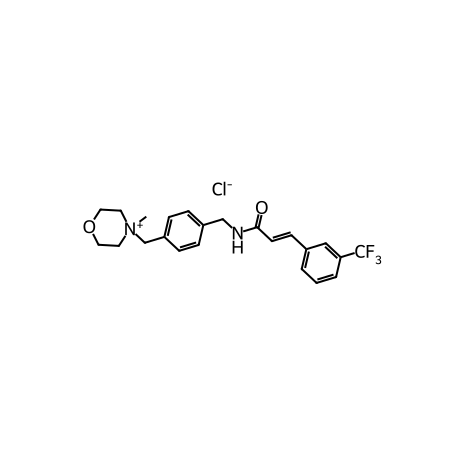 C[N+]1(Cc2ccc(CNC(=O)C=Cc3cccc(C(F)(F)F)c3)cc2)CCOCC1.[Cl-]